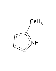 [GeH3][c]1ccc[nH]1